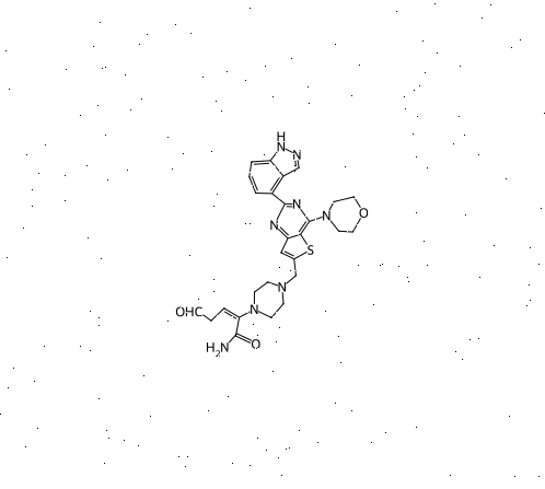 NC(=O)C(=CCC=O)N1CCN(Cc2cc3nc(-c4cccc5[nH]ncc45)nc(N4CCOCC4)c3s2)CC1